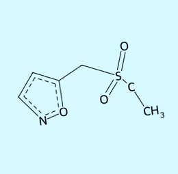 CCS(=O)(=O)Cc1ccno1